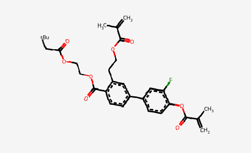 C=C(C)C(=O)OCCc1cc(-c2ccc(OC(=O)C(=C)C)c(F)c2)ccc1C(=O)OCCOC(=O)CC(C)(C)C